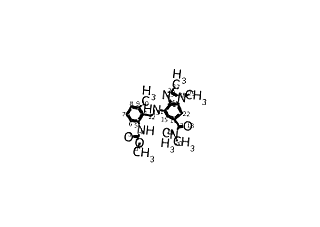 COC(=O)Nc1cccc(C)c1CNc1cc(C(=O)N(C)C)cc2c1nc(C)n2C